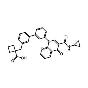 O=C(NC1CC1)c1cn(-c2cccc(-c3cccc(CC4(C(=O)O)CCC4)c3)c2)c2ncccc2c1=O